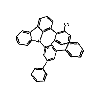 N#Cc1cccc(C#N)c1-c1cccc2c3ccccc3n(-c3cc(-c4ccccc4)cc(-c4ccccc4)c3)c12